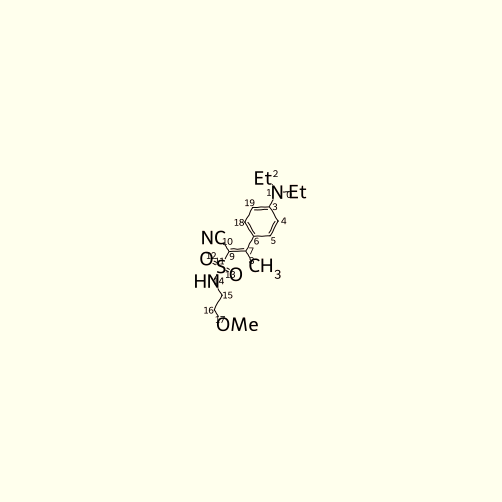 CCN(CC)c1ccc(/C(C)=C(\C#N)S(=O)(=O)NCCOC)cc1